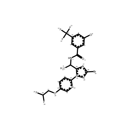 CC(NC(=O)c1cc(Cl)cc(C(F)(F)F)c1)c1nc(Br)nn1-c1ccc(OCC(F)F)cn1